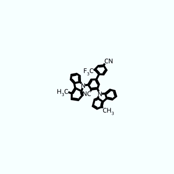 Cc1cccc2c1c1ccccc1n2-c1cc(-c2ccc(C#N)cc2C(F)(F)F)cc(-n2c3ccccc3c3c(C)cccc32)c1C#N